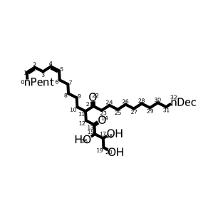 CCCCC/C=C\C/C=C\CCCCCC(CC(=O)C(O)C(O)CO)C(=O)CCCCCCCCCCCCCCCCCCC